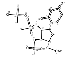 CC(=O)OC[C@H]1O[C@@H](n2ccc(=O)[nH]c2=O)[C@H](OS(C)(=O)=O)[C@@H]1OS(C)(=O)=O.CS(=O)(=O)Cl